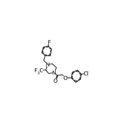 O=C(COc1ccc(Cl)cc1)N1CCN(Cc2ccc(F)cc2)C(C(F)(F)F)C1